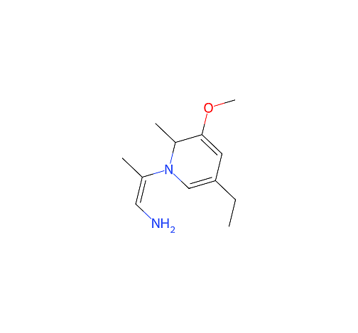 CCC1=CN(/C(C)=C\N)C(C)C(OC)=C1